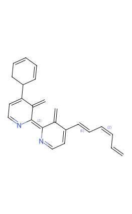 C=C/C=C\C=C\c1ccn/c(=c2\nccc(C3C=CC=CC3)c2=C)c1=C